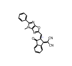 Cn1c(-c2ccccc2)nc2oc(/C=C3\C(=O)c4ccccc4C3=C(C#N)C#N)nc21